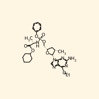 CCOc1nc(N)nc2c1ncn2[C@@H]1O[C@H](COP(=O)(N[C@@H](C)C(=O)OC2CCCCC2)Oc2ccccc2)C[C@@H]1C